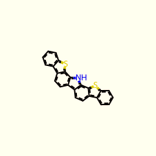 c1ccc2c(c1)sc1c2ccc2c3ccc4c5ccccc5sc4c3[nH]c21